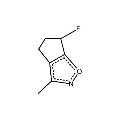 Cc1noc2c1CCC2F